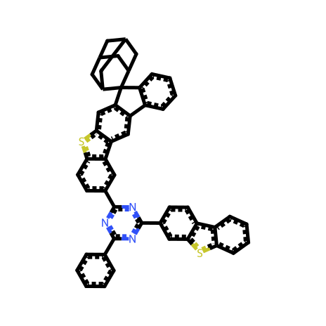 c1ccc(-c2nc(-c3ccc4c(c3)sc3ccccc34)nc(-c3ccc4sc5cc6c(cc5c4c3)-c3ccccc3C63C4CC5CC(C4)CC3C5)n2)cc1